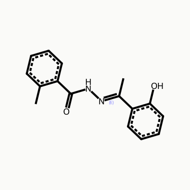 C/C(=N\NC(=O)c1ccccc1C)c1ccccc1O